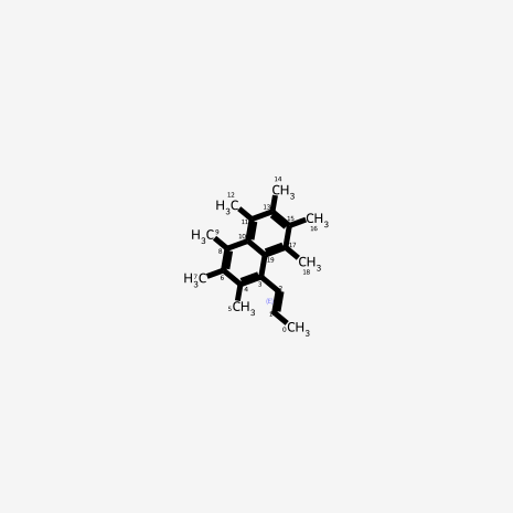 C/C=C/c1c(C)c(C)c(C)c2c(C)c(C)c(C)c(C)c12